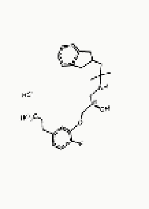 CC(C)(CC1Cc2ccccc2C1)NC[C@@H](O)COc1cc(CCC(=O)O)ccc1F.Cl